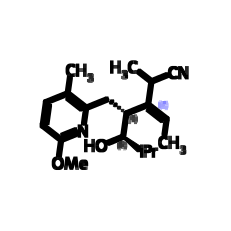 C/C=C(/C(C)C#N)[C@@H](Cc1nc(OC)ccc1C)[C@H](O)C(C)C